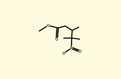 COC(=O)CC(C)C(C)(C)[N+](=O)[O-]